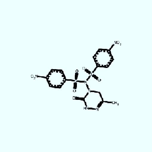 CC1=NNC(=O)N(N(S(=O)(=O)c2ccc([N+](=O)[O-])cc2)S(=O)(=O)c2ccc([N+](=O)[O-])cc2)C1